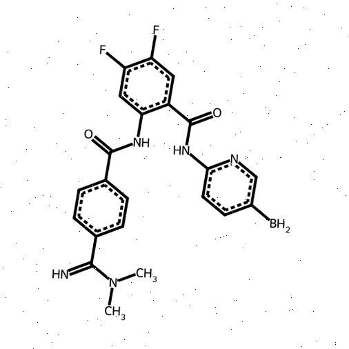 Bc1ccc(NC(=O)c2cc(F)c(F)cc2NC(=O)c2ccc(C(=N)N(C)C)cc2)nc1